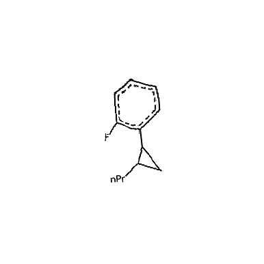 CCCC1CC1c1ccccc1F